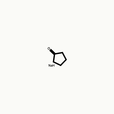 O=C1CCCC1.[NaH]